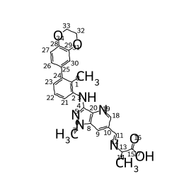 Cc1c(Nc2nn(C)c3cc(C=N[C@H](C)C(=O)O)cnc23)cccc1-c1ccc2c(c1)OCCO2